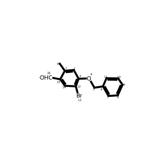 Cc1cc(OCc2ccccc2)c(Br)cc1[C]=O